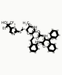 CCC(O)(c1cnc(SC[C@H]2O[C@H](CCc3ccccc3NC(=O)C(NC(=O)OC)C(c3ccccc3)c3ccccc3)CN[C@@H]2C)s1)C(F)(F)F